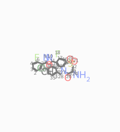 Cc1cccc(F)c1-c1nnc(-c2cc3c(cc2F)S(=O)(=O)C[C@H](N)C(=O)N3Cc2ccc(Cl)cc2)o1